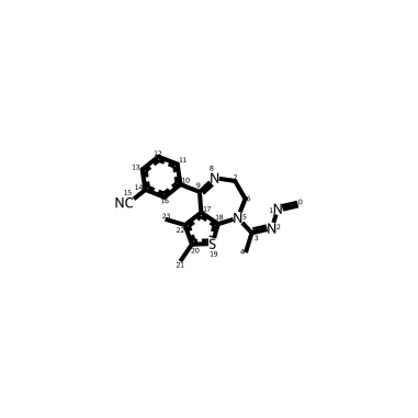 C=N/N=C(/C)N1CCN=C(c2cccc(C#N)c2)c2c1sc(C)c2C